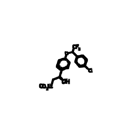 CCOC(=O)CC(O)c1ccc(OC(c2ccc(Cl)cc2)C(F)(F)F)cc1